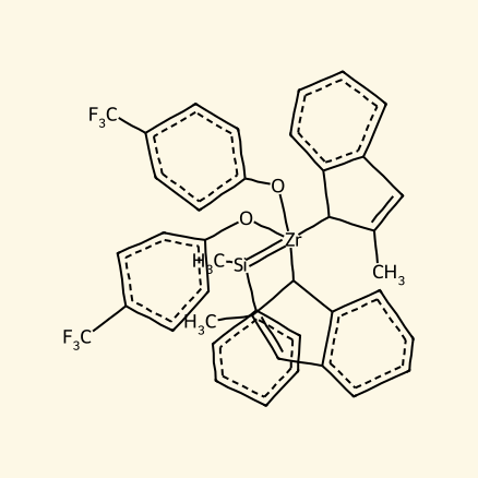 CC1=Cc2ccccc2[CH]1[Zr]([O]c1ccc(C(F)(F)F)cc1)([O]c1ccc(C(F)(F)F)cc1)([CH]1C(C)=Cc2ccccc21)=[Si](C)c1ccccc1